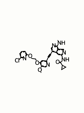 CNc1ncc(C#Cc2cc(OCCOc3cccc(Cl)n3)c(OC)cn2)c2cc(NC(=O)C3CC3)ncc12